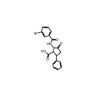 O=C(NN1C(=O)CC(c2ccccc2)C1C(=O)O)c1cccc(Br)c1